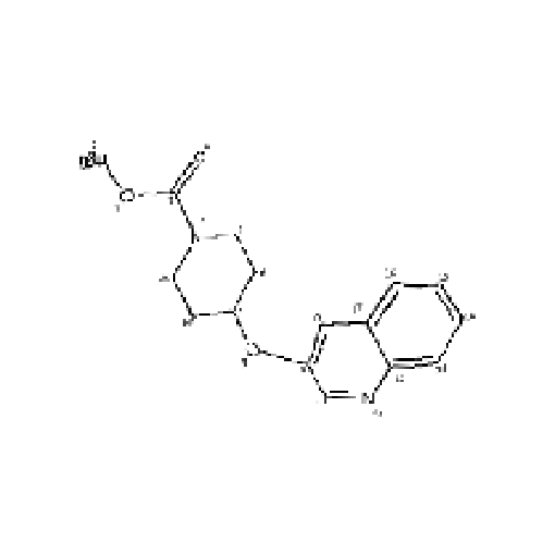 CC(C)(C)OC(=O)N1CCC(Oc2cnc3ccccc3c2)CC1